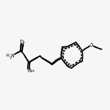 COc1ccc(CCC(=N)C(N)=O)cc1